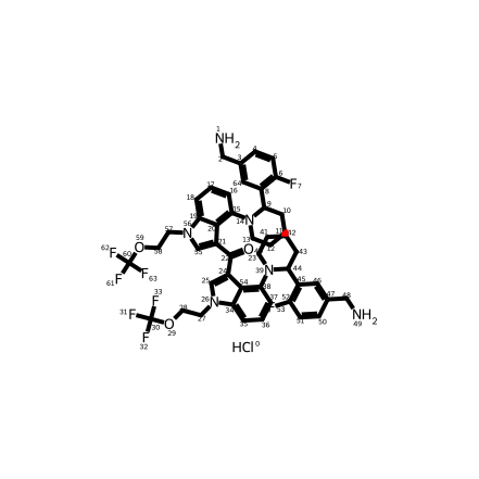 Cl.NCc1ccc(F)c(C2CCCCN2c2cccc3c2c(C(=O)c2cn(CCOC(F)(F)F)c4cccc(N5CCCCC5c5cc(CN)ccc5F)c24)cn3CCOC(F)(F)F)c1